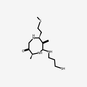 C=C1C(NCCCS)N[C@@H](C)C(=O)CN[C@H]1CCSC